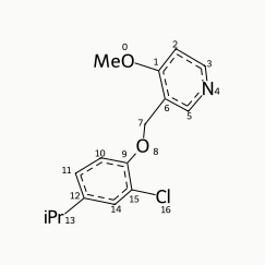 COc1ccncc1COc1ccc(C(C)C)cc1Cl